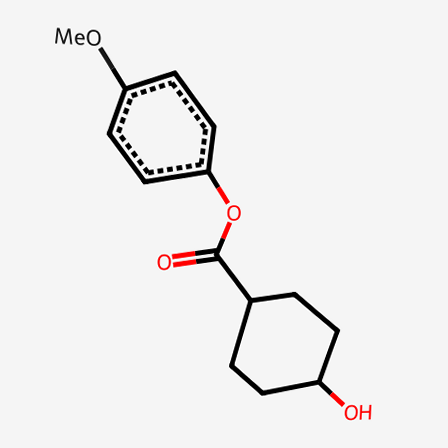 COc1ccc(OC(=O)C2CCC(O)CC2)cc1